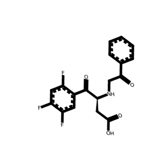 O=C(O)C[C@H](NCC(=O)c1ccccc1)C(=O)c1cc(F)c(F)cc1F